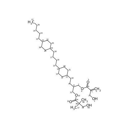 C=C(CO)C(=O)OCC(CCC1CCC(CCCCC2CCC(CCCCC)CC2)CC1)COC(=O)C(C)(C)CO